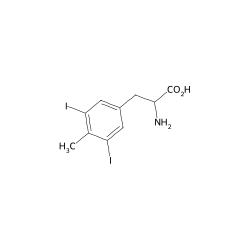 Cc1c(I)cc(CC(N)C(=O)O)cc1I